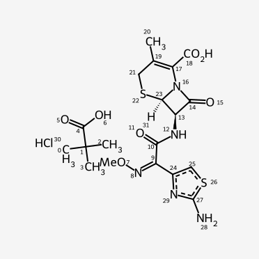 CC(C)(C)C(=O)O.CO/N=C(\C(=O)N[C@@H]1C(=O)N2C(C(=O)O)=C(C)CS[C@H]12)c1csc(N)n1.Cl